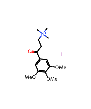 COc1cc(C(=O)CC[N+](C)(C)C)cc(OC)c1OC.[I-]